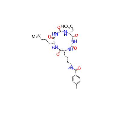 CNCCCC1NC(=O)C(CCCCNC(=O)c2ccc(C)cc2)NC(=O)NC(=O)C(CC(=O)O)NC(=O)NC1=O